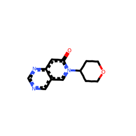 O=c1cc2ncncc2cn1C1CCOCC1